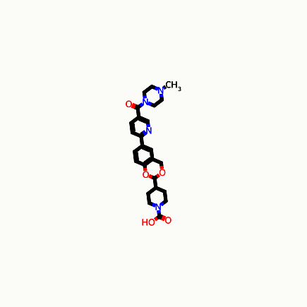 CN1CCN(C(=O)c2ccc(-c3ccc4c(c3)COC(C3CCN(C(=O)O)CC3)O4)nc2)CC1